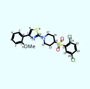 COc1ccccc1-c1csc(N2CCC(S(=O)(=O)c3cc(Cl)ccc3Cl)CC2)n1